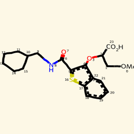 COCC(Oc1c(C(=O)NCC2CCCCC2)sc2ccccc12)C(=O)O